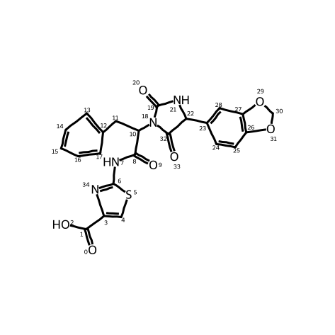 O=C(O)c1csc(NC(=O)C(Cc2ccccc2)N2C(=O)NC(c3ccc4c(c3)OCO4)C2=O)n1